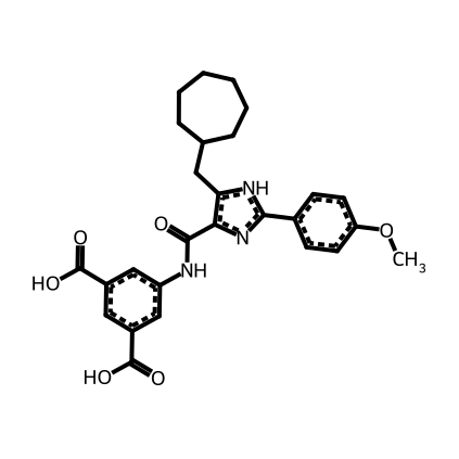 COc1ccc(-c2nc(C(=O)Nc3cc(C(=O)O)cc(C(=O)O)c3)c(CC3CCCCCC3)[nH]2)cc1